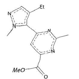 CCc1cnn(C)c1-c1cc(C(=O)OC)nc(C)n1